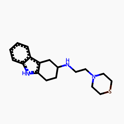 c1ccc2c3c([nH]c2c1)CCC(NCCN1CCSCC1)C3